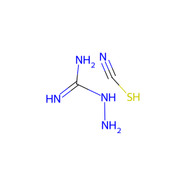 N#CS.N=C(N)NN